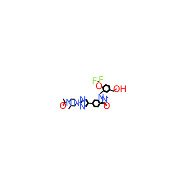 CC(=O)N1CCN(c2ncc(-c3ccc4c(=O)n(C)n(Cc5cc(CO)ccc5OC(F)F)c4c3)cn2)CC1C